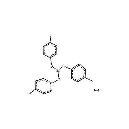 Cc1ccc([O][Sn]([O]c2ccc(C)cc2)[O]c2ccc(C)cc2)cc1.[NaH]